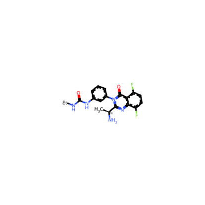 CCNC(=O)Nc1cccc(-n2c([C@H](C)N)nc3c(F)ccc(F)c3c2=O)c1